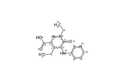 CCc1c(C(=O)O)nn(CC)c(=O)c1Nc1cccnc1